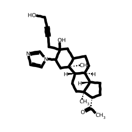 CC(=O)[C@H]1CC[C@H]2[C@@H]3CCC4CC(O)(CC#CCO)C(n5ccnc5)C[C@]4(C)[C@H]3CC[C@]12C